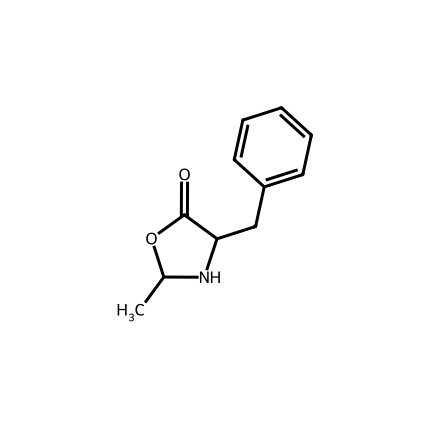 CC1NC(Cc2ccccc2)C(=O)O1